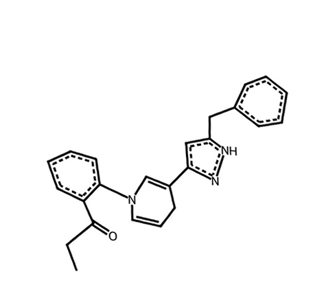 CCC(=O)c1ccccc1N1C=CCC(c2cc(Cc3ccccc3)[nH]n2)=C1